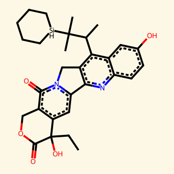 CCC1(O)C(=O)OCc2c1cc1n(c2=O)Cc2c-1nc1ccc(O)cc1c2C(C)C(C)(C)[SiH]1CCCCC1